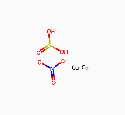 O=S(O)O.O=[N+]([O-])[O-].[Cu].[Cu]